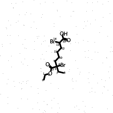 CCOC(=O)C(Br)(CC)CCCCC(Br)C(=O)O